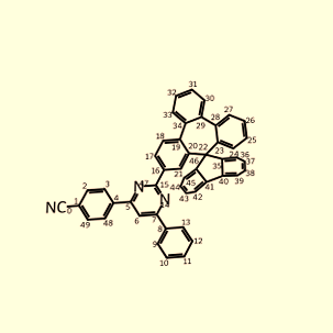 N#Cc1ccc(-c2cc(-c3ccccc3)nc(-c3ccc4c(c3)C3(c5ccccc5-c5ccccc5-4)c4ccccc4-c4ccccc43)n2)cc1